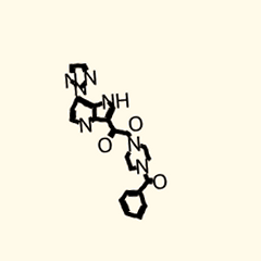 O=C(C(=O)N1CCN(C(=O)c2ccccc2)CC1)c1c[nH]c2c(-n3nccn3)ccnc12